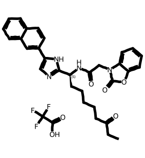 CCC(=O)CCCCC[C@H](NC(=O)Cn1c(=O)oc2ccccc21)c1ncc(-c2ccc3ccccc3c2)[nH]1.O=C(O)C(F)(F)F